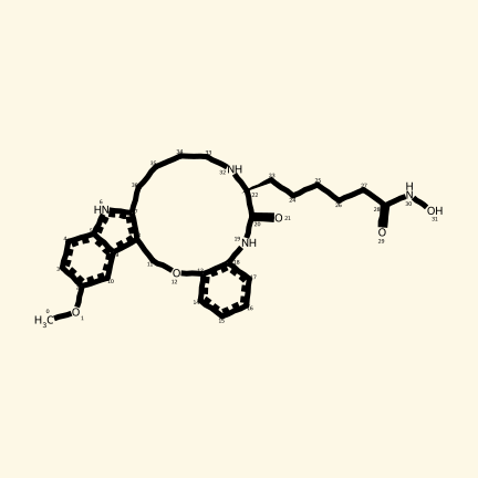 COc1ccc2[nH]c3c(c2c1)COc1ccccc1NC(=O)[C@H](CCCCCC(=O)NO)NCCCC3